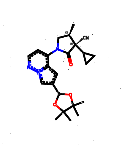 C[C@@H]1CN(c2ccnn3cc(B4OC(C)(C)C(C)(C)O4)cc23)C(=O)[C@]1(C#N)C1CC1